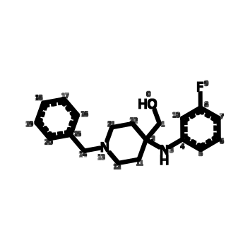 OCC1(Nc2cccc(F)c2)CCN(Cc2ccccc2)CC1